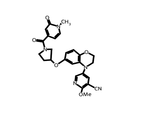 COc1ncc(N2CCOc3ccc(OC4CCN(C(=O)c5ccn(C)c(=O)c5)C4)cc32)cc1C#N